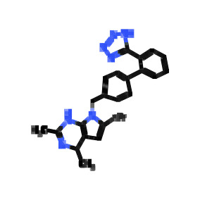 CCCc1cc2c(n1Cc1ccc(-c3ccccc3-c3nnn[nH]3)cc1)NC(C)=NC2C